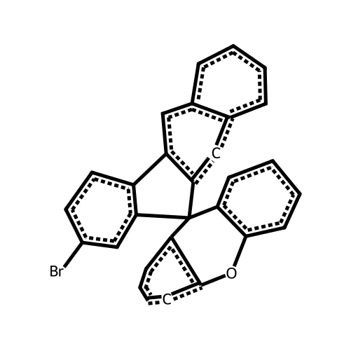 Brc1ccc2c(c1)C1(c3ccccc3Oc3ccccc31)c1cc3ccccc3cc1-2